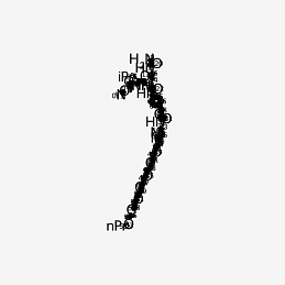 C=NOCC(=O)N[C@@H](CC(C)C)C(=O)N[C@@H](CCCNC(N)=O)C(=O)Nc1ccc(COC(=O)NCc2cn(CCOCCOCCOCCOCCOCCOCCOCCC)nn2)cc1